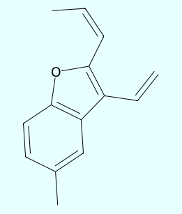 C=Cc1c(/C=C\C)oc2ccc(C)cc12